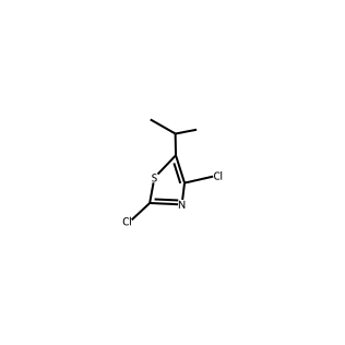 CC(C)c1sc(Cl)nc1Cl